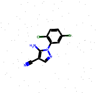 N#Cc1cnn(-c2cc(Br)ccc2Cl)c1N